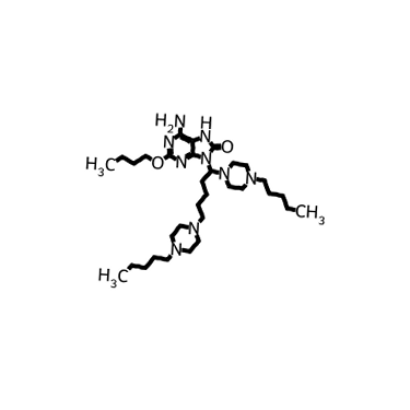 CCCCCN1CCN(CCCCC(N2CCN(CCCCC)CC2)n2c(=O)[nH]c3c(N)nc(OCCCC)nc32)CC1